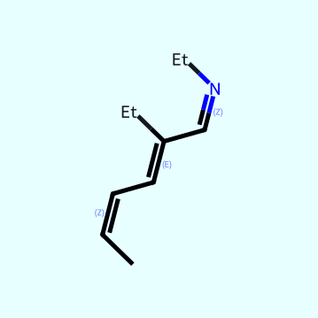 C\C=C/C=C(/C=N\CC)CC